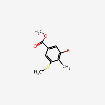 COC(=O)c1cc(Br)c(C)c(SC)c1